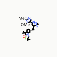 COc1ncc(-c2cc(C3C[C@@H]3c3ccc4c(c3)N(CC3(F)CC3)C(=O)C43CC3)c3nccn3n2)c(OC)n1